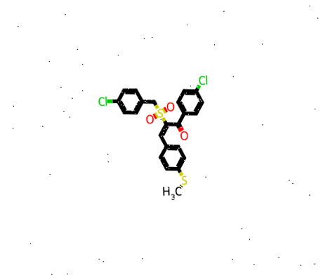 CSc1ccc(/C=C(\C(=O)c2ccc(Cl)cc2)S(=O)(=O)Cc2ccc(Cl)cc2)cc1